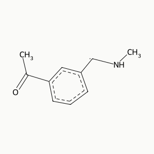 CN[CH]c1cccc(C(C)=O)c1